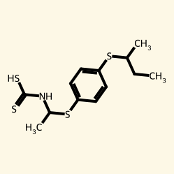 CCC(C)Sc1ccc(SC(C)NC(=S)S)cc1